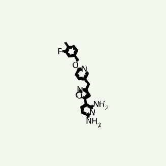 Cc1ccc(COc2ccc(Cc3cc(-c4ccc(N)nc4N)on3)cn2)cc1F